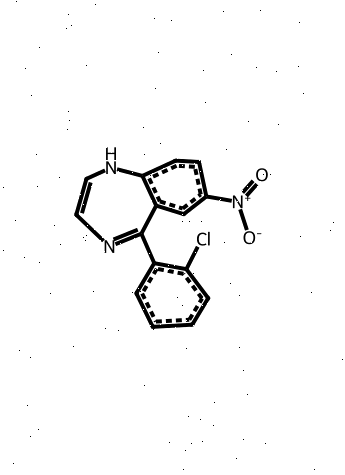 O=[N+]([O-])c1ccc2c(c1)C(c1ccccc1Cl)=NC=CN2